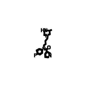 CC1CN(CCCCN(C(=O)c2cccnc2)c2ccc(F)cc2)CCN1